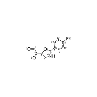 O=CC(=O)C1CNC(c2ccc(F)cc2)O1